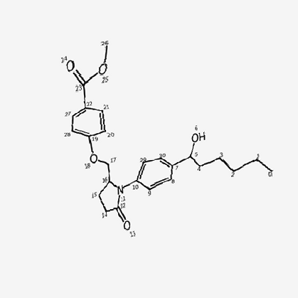 CCCCCC(O)c1ccc(N2C(=O)CCC2COc2ccc(C(=O)OC)cc2)cc1